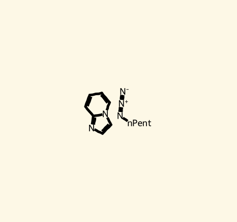 CCCCCN=[N+]=[N-].c1ccn2ccnc2c1